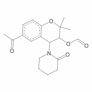 CC(=O)c1ccc2c(c1)C(N1CCCCC1=O)C(OC=O)C(C)(C)O2